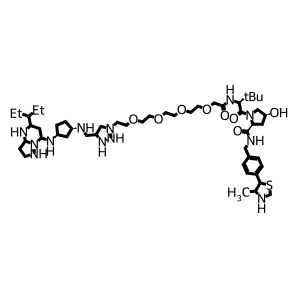 CCC(CC)C1CC(N[C@H]2CC[C@H](NCC3CN(CCOCCOCCOCCOCC(=O)N[C@H](C(=O)N4C[C@H](O)C[C@H]4C(=O)NCc4ccc(C5SCNC5C)cc4)C(C)(C)C)NN3)C2)N2NCCC2N1